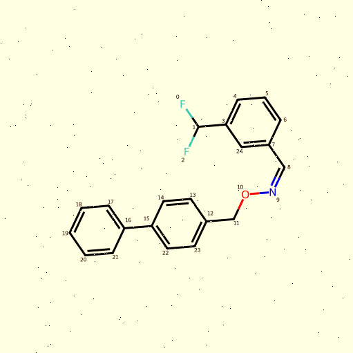 FC(F)c1cccc(/[C]=N\OCc2ccc(-c3ccccc3)cc2)c1